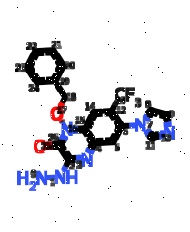 NNc1nc2cc(-n3ccnc3)c(C(F)(F)F)cc2n(OCc2ccccc2)c1=O